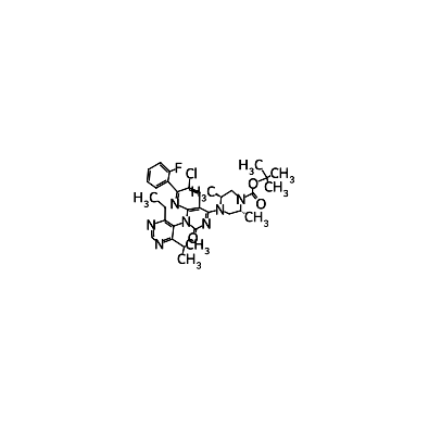 CCc1ncnc(C(C)C)c1-n1c(=O)nc(N2C[C@@H](C)N(C(=O)OC(C)(C)C)C[C@@H]2C)c2cc(Cl)c(-c3ccccc3F)nc21